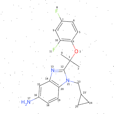 CC(C)(Oc1ccc(F)cc1F)c1nc2cc(N)ccc2n1CC1CC1